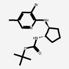 Cc1cnc(N[C@H]2CCC[C@@H]2NC(=O)OC(C)(C)C)c(Br)c1